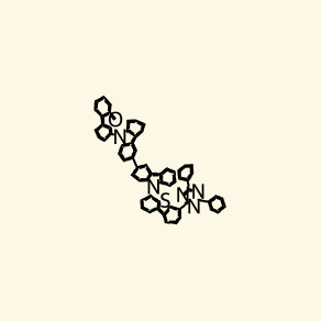 c1ccc(-c2nc(-c3ccccc3)nc(-c3cccc4c3sc3c(-n5c6ccccc6c6cc(-c7ccc8c(c7)c7ccccc7n8-c7cccc8c7oc7ccccc78)ccc65)cccc34)n2)cc1